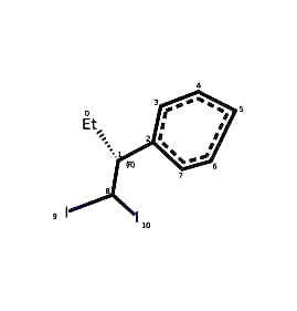 CC[C@H](c1ccccc1)C(I)I